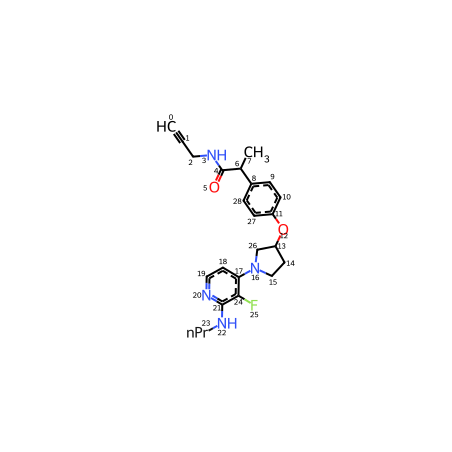 C#CCNC(=O)C(C)c1ccc(OC2CCN(c3ccnc(NCCC)c3F)C2)cc1